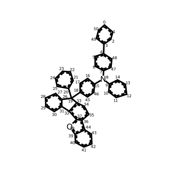 c1ccc(-c2ccc(N(c3ccccc3)c3ccc(C4(c5ccccc5)c5ccccc5-c5c4ccc4c5oc5ccccc54)cc3)cc2)cc1